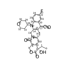 CC[C@@]1(O)C(=O)OCc2c1ccn(CC1=C(I)C(=C=O)c3cc(F)ccc3N1C1CCOCC1)c2=O